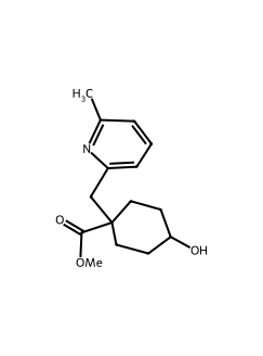 COC(=O)C1(Cc2cccc(C)n2)CCC(O)CC1